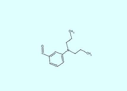 CCCN(CCC)c1cccc([C]=O)c1